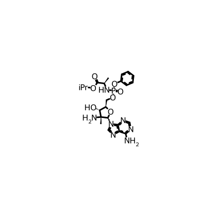 CC(C)OC(=O)[C@@H](C)NP(=O)(OC[C@H]1O[C@@H](n2cnc3c(N)ncnc32)[C@](C)(N)[C@@H]1O)Oc1ccccc1